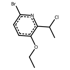 CCOc1ccc(Br)nc1C(C)Cl